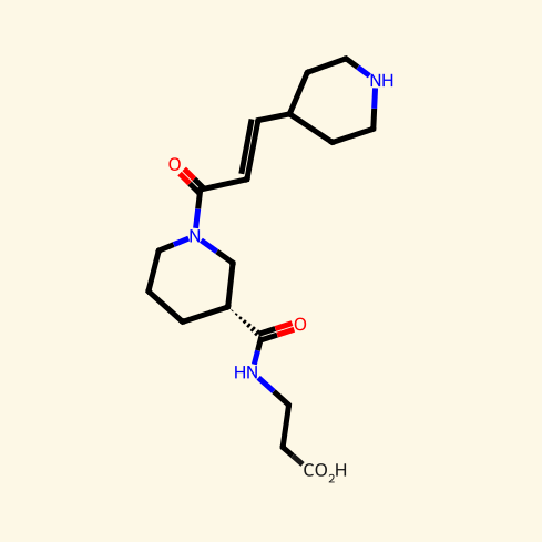 O=C(O)CCNC(=O)[C@@H]1CCCN(C(=O)/C=C/C2CCNCC2)C1